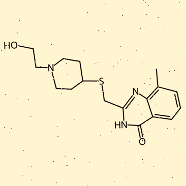 Cc1cccc2c(=O)[nH]c(CSC3CCN(CCO)CC3)nc12